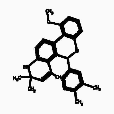 COc1cccc2c1-c1ccc3c(c1C(c1ccc(C)c(C)c1)O2)C(C)=CC(C)(C)N3